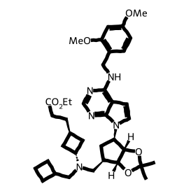 CCOC(=O)CC[C@H]1C[C@H](N(CC2CCC2)C[C@H]2C[C@@H](n3ccc4c(NCc5ccc(OC)cc5OC)ncnc43)[C@@H]3OC(C)(C)O[C@H]23)C1